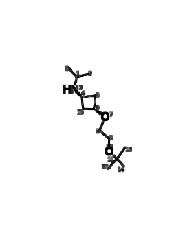 CC(C)N[C@H]1C[C@@H](OCCOC(C)(C)C)C1